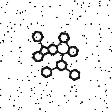 c1ccc(-c2cc(-c3ccccc3)cc(N3c4ccccc4-c4ccccc4-c4cc5c(cc43)c3ccccc3n5-c3ccccc3)c2)cc1